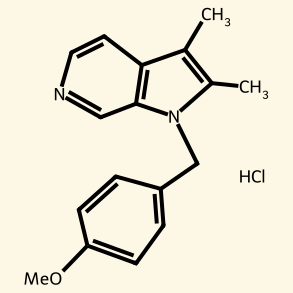 COc1ccc(Cn2c(C)c(C)c3ccncc32)cc1.Cl